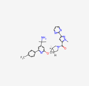 Cn1nc(-c2ncccn2)cc1C(=O)N1C[C@H]2[C@H](Oc3cc(C(C)(C)N)cc(-c4ccc(C(F)(F)F)cc4)n3)[C@@]2(C)C1